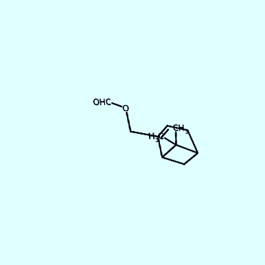 CC1(C)C2CC=C(COC=O)C1C2